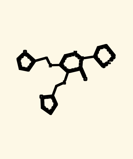 O=c1c(SCc2ccco2)c(SCc2ccco2)cnn1-c1ccccc1